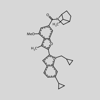 COc1cc(C(=O)N2CC3CCC2C3C)cc2oc(-c3cc4ccc(C5CC5)cc4n3CC3CC3)c(C)c12